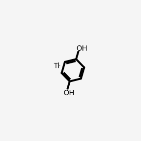 Oc1ccc(O)cc1.[Tl]